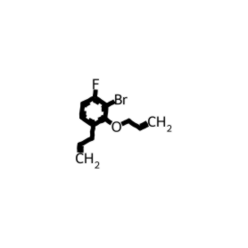 C=CCOc1c(CC=C)ccc(F)c1Br